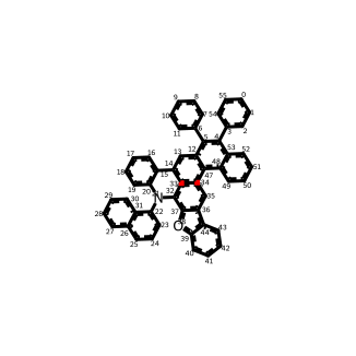 c1ccc(-c2c(-c3ccccc3)c3cc(-c4ccccc4N(c4cccc5ccccc45)c4cccc5c4oc4ccccc45)ccc3c3ccccc23)cc1